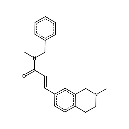 CN1CCc2ccc(C=CC(=O)N(C)Cc3ccccc3)cc2C1